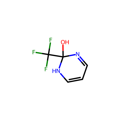 OC1(C(F)(F)F)N=CC=CN1